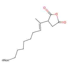 CCCCCCCCCCCCCCCC=C(C)C1CC(=O)OC1=O